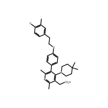 Cc1cc(CCOc2ccc(-c3c(C)nc(C)c(CC(=O)O)c3N3CCC(C)(C)CC3)cc2)ccc1F